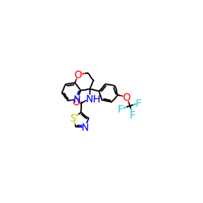 O=C(NC1(c2ccc(OC(F)(F)F)cc2)CCOc2cccnc21)c1cncs1